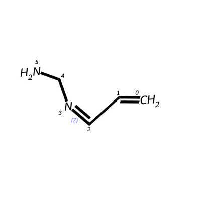 C=C/C=N\CN